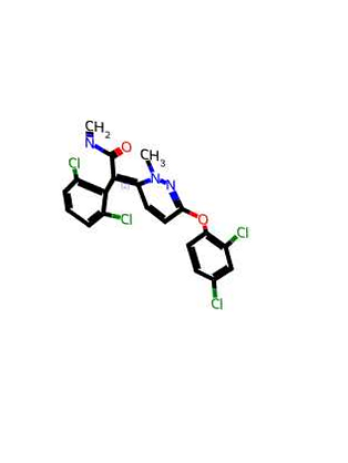 C=NC(=O)/C(=C1/C=CC(Oc2ccc(Cl)cc2Cl)=NN1C)c1c(Cl)cccc1Cl